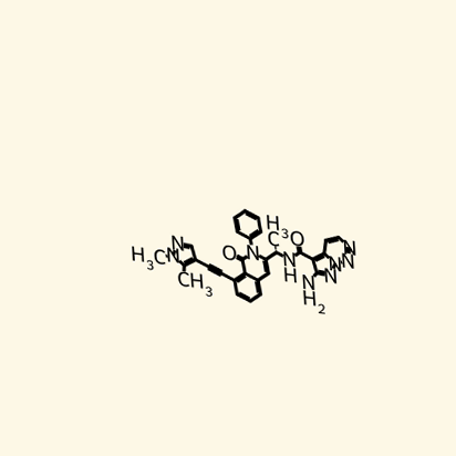 Cc1c(C#Cc2cccc3cc([C@H](C)NC(=O)c4c(N)nn5nnccc45)n(-c4ccccc4)c(=O)c23)cnn1C